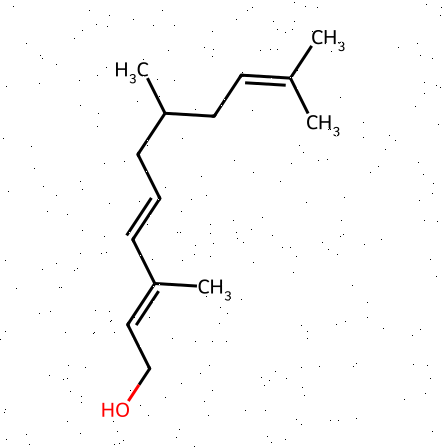 CC(C)=CCC(C)C/C=C/C(C)=C/CO